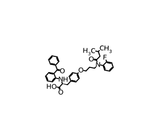 CC(C)CC(=O)N(CCCOc1ccc(C[C@H](Nc2ccccc2C(=O)c2ccccc2)C(=O)O)cc1)c1ccccc1F